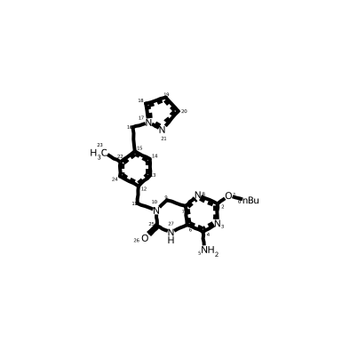 CCCCOc1nc(N)c2c(n1)CN(Cc1ccc(Cn3cccn3)c(C)c1)C(=O)N2